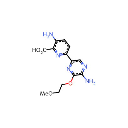 COCCOc1nc(-c2ccc(N)c(C(=O)O)n2)cnc1N